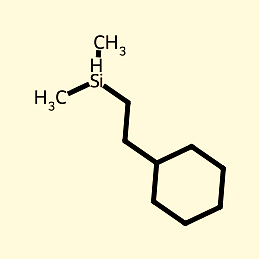 C[SiH](C)CCC1CCCCC1